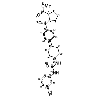 COC(=O)C1CCCC1C(=O)c1ccc(C2CCC(NC(=O)Nc3cccc(Cl)c3)CC2)cc1